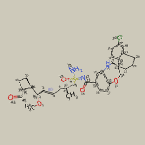 CO[C@@H](/C=C/C[C@H](C)CS(N)(=O)=NC(=O)c1ccc2c(c1)NC[C@@]1(CCCc3cc(Cl)ccc31)CO2)[C@@H]1CC[C@H]1C=O